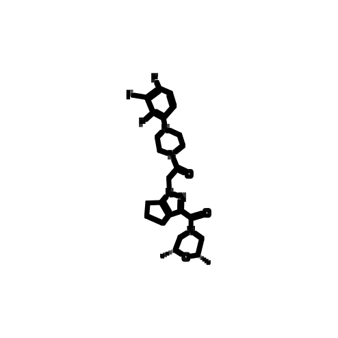 C[C@@H]1CN(C(=O)c2nn(CC(=O)N3CCN(c4ccc(F)c(F)c4F)CC3)c3c2CCC3)C[C@H](C)O1